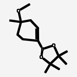 COC1(C)CC=C(B2OC(C)(C)C(C)(C)O2)CC1